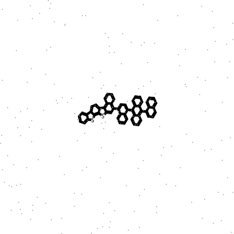 c1ccc2c(-c3c4ccccc4c(-c4ccc(-c5cc6sc7c(ccc8c9ccccc9sc87)c6c6ccccc56)c5ccccc45)c4ccccc34)cccc2c1